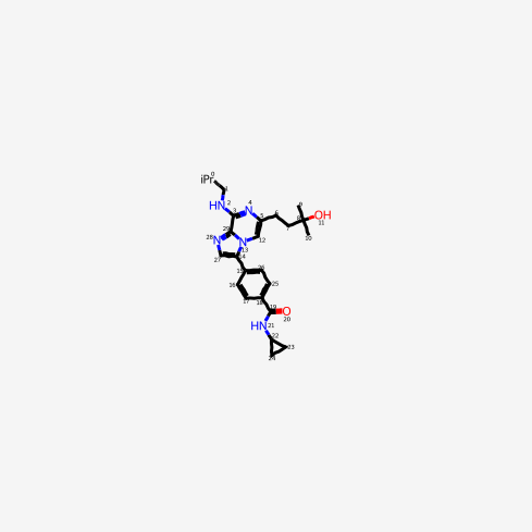 CC(C)CNc1nc(CCC(C)(C)O)cn2c(-c3ccc(C(=O)NC4CC4)cc3)cnc12